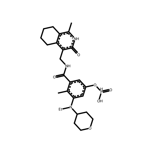 CCN(c1cc(O[PH](=O)O)cc(C(=O)NCc2c3c(c(C)[nH]c2=O)CCCC3)c1C)C1CCOCC1